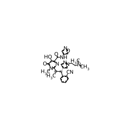 C[C@@H](c1nc(C(=O)Nc2cnoc2)c(O)c(=O)n1C)[C@H](c1cnn(CCN(C)C)c1)c1ccccc1C#N